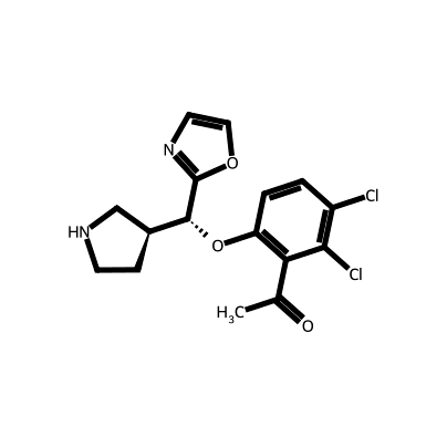 CC(=O)c1c(O[C@@H](c2ncco2)[C@H]2CCNC2)ccc(Cl)c1Cl